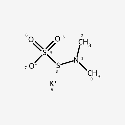 CN(C)SS(=O)(=O)[O-].[K+]